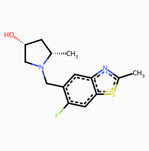 Cc1nc2cc(CN3C[C@H](O)C[C@@H]3C)c(F)cc2s1